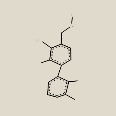 CCNCc1ccc(-c2cccc(O)c2O)c(C=O)c1C=O